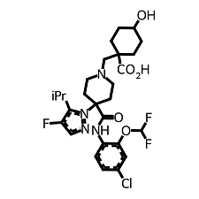 CC(C)c1c(F)cnn1C1(C(=O)Nc2ccc(Cl)cc2OC(F)F)CCN(CC2(C(=O)O)CCC(O)CC2)CC1